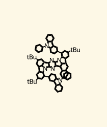 CC(C)(C)c1cc(-c2ccc3c(c2)c2ccccc2n3-c2ccccc2)c2c(c1)c1cc(C(C)(C)C)cc3c4nc5c(nc4n2c13)c1c2ccccc2cc2c3cc(C(C)(C)C)cc(-c4ccc6c(c4)c4ccccc4n6-c4ccccc4)c3n5c21